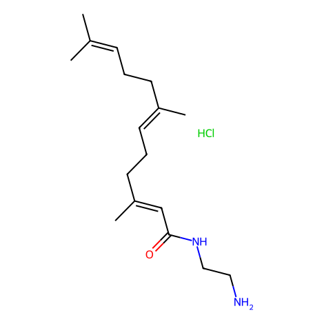 CC(C)=CCCC(C)=CCCC(C)=CC(=O)NCCN.Cl